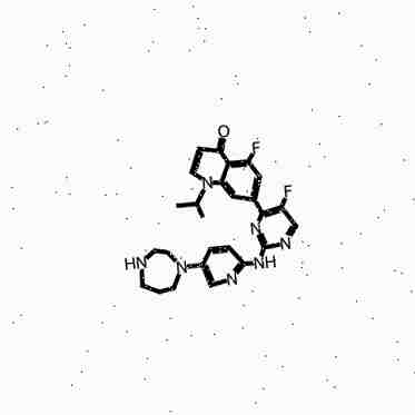 CC(C)n1ccc(=O)c2c(F)cc(-c3nc(Nc4ccc(N5CCCNCC5)cn4)ncc3F)cc21